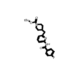 CC(C)(C)OC(=O)N1CCC(Cc2cccc(NC(=O)c3ccc(F)cc3)n2)CC1